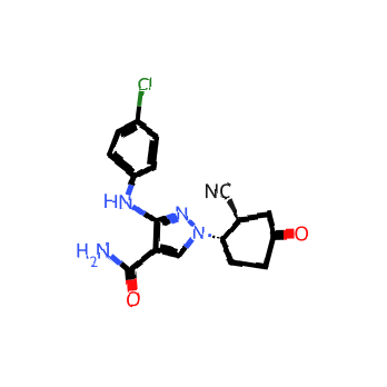 N#C[C@H]1CC(=O)CC[C@@H]1n1cc(C(N)=O)c(Nc2ccc(Cl)cc2)n1